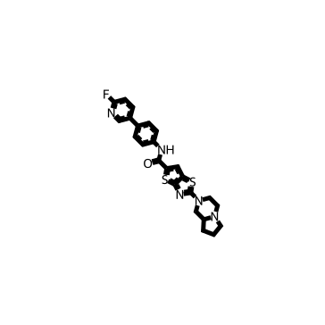 O=C(Nc1ccc(-c2ccc(F)nc2)cc1)c1cc2sc(N3CCN4CCCC4C3)nc2s1